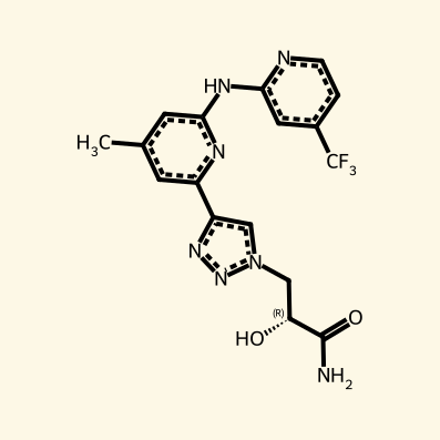 Cc1cc(Nc2cc(C(F)(F)F)ccn2)nc(-c2cn(C[C@@H](O)C(N)=O)nn2)c1